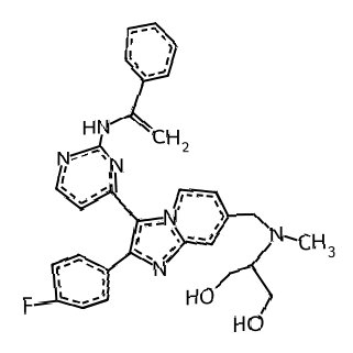 C=C(Nc1nccc(-c2c(-c3ccc(F)cc3)nc3cc(CN(C)C(CO)CO)ccn23)n1)c1ccccc1